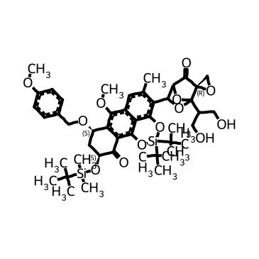 COc1ccc(CO[C@H]2C[C@H](O[Si](C)(C)C(C)(C)C)C(=O)c3c2c(OC)c2cc(C)c(C4OC5(C(CO)CO)OC4C(=O)[C@@]54CO4)c4c2c3O[Si](C(C)(C)C)(C(C)(C)C)O4)cc1